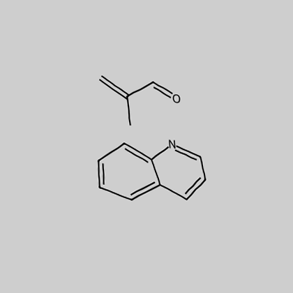 C=C(C)C=O.c1ccc2ncccc2c1